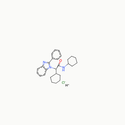 O=C(NC1CCCCC1)C(C1CCCCC1)n1c(-c2ccccc2)nc2ccccc21.[Cl-].[H+]